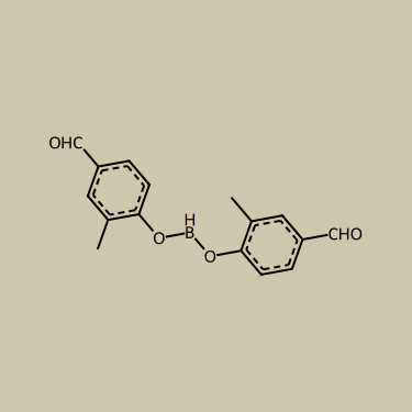 Cc1cc(C=O)ccc1OBOc1ccc(C=O)cc1C